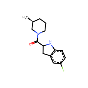 C[C@H]1CCCN(C(=O)C2Cc3cc(F)ccc3N2)C1